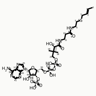 CC=CCSCCNC(=O)CCNC(=O)[C@H](O)C(C)(C)COP(=O)(O)OP(=O)(O)OC[C@H]1O[C@@H](n2cnc3c(N)ncnc32)[C@H](O)[C@@H]1OP(=O)(O)O